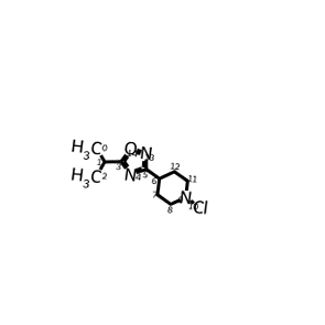 CC(C)c1nc(C2CCN(Cl)CC2)no1